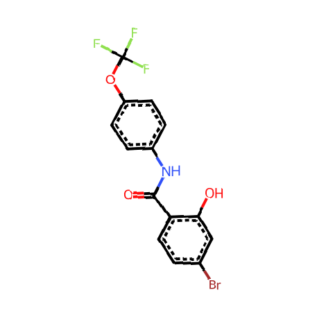 O=C(Nc1ccc(OC(F)(F)F)cc1)c1ccc(Br)cc1O